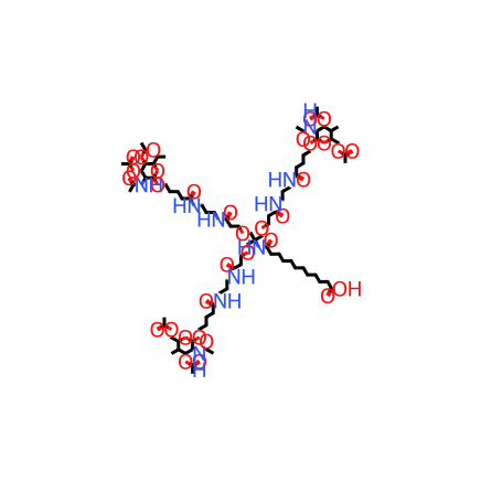 CCC1OC(OCCCCC(=O)NCCCNC(=O)CCOCC(COCCC(=O)NCCCNC(=O)CCCCOC2OC(COC(C)=O)C(C)C(OC(C)=O)C2NC(C)=O)(COCCC(=O)NCCCNC(=O)CCCCOC2OC(COC(C)=O)C(C)C(OC(C)=O)C2NC(C)=O)NC(=O)CCCCCCCCCCC(=O)O)C(NC(C)=O)C(OC(C)=O)C1OC(C)=O